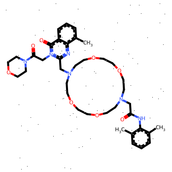 Cc1cccc(C)c1NC(=O)CN1CCOCCOCCN(Cc2nc3c(C)cccc3c(=O)n2CC(=O)N2CCOCC2)CCOCCOCC1